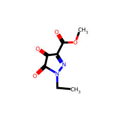 CCN1N=C(C(=O)OC)C(=O)C1=O